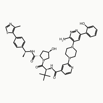 Cc1ncsc1-c1ccc([C@H](C)NC(=O)[C@@H]2C[C@@H](O)CN2C(=O)[C@@H](NC(=O)c2ccnc(N3CCN(c4cc(-c5ccccc5O)nnc4N)CC3)c2)C(C)(C)C)cc1